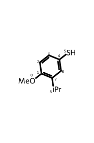 COc1ccc(S)cc1C(C)C